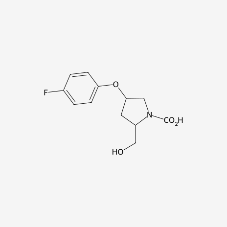 O=C(O)N1CC(Oc2ccc(F)cc2)CC1CO